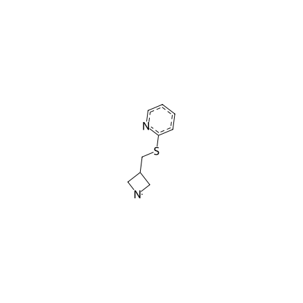 c1ccc(SCC2C[N]C2)nc1